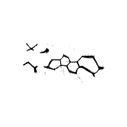 CCC(=O)O[C@@]1(C)C[C@H]2[C@@H]3C[C@H](F)C4=C(F)C(=O)C=C[C@]4(C)[C@@]3(F)[C@@H](O)C[C@]2(C)[C@H]1C(=O)OC(C)(C)C